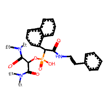 CCN(CC)C(=O)C(OP(=O)(O)C(C(=O)NC=Cc1ccccc1)c1cccc2ccccc12)C(=O)N(CC)CC